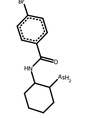 O=C(NC1CCCCC1[AsH2])c1ccc(Br)cc1